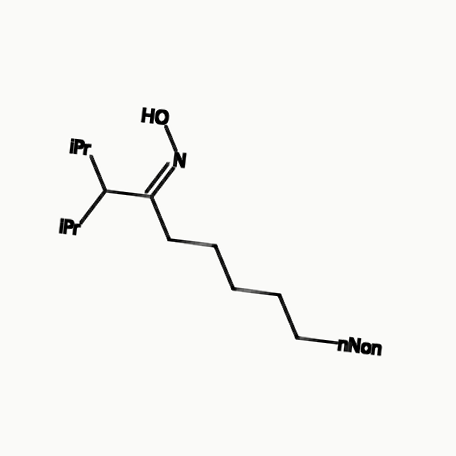 CCCCCCCCCCCCCCC(=NO)C(C(C)C)C(C)C